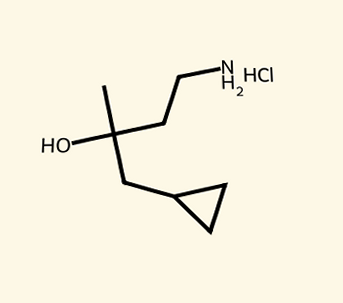 CC(O)(CCN)CC1CC1.Cl